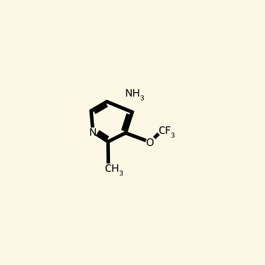 Cc1ncccc1OC(F)(F)F.N